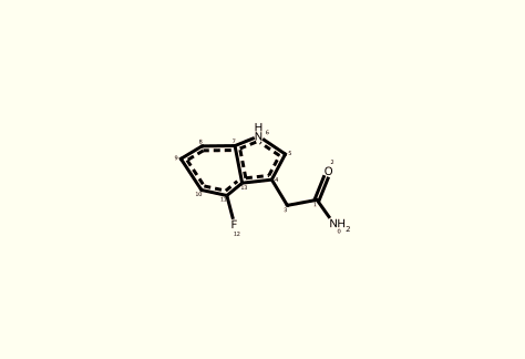 NC(=O)Cc1c[nH]c2cccc(F)c12